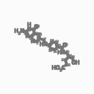 Nc1nc2ncc(CNc3ccc(C(=O)NCC(CO)CCC(=O)O)cc3)nc2c(=O)[nH]1